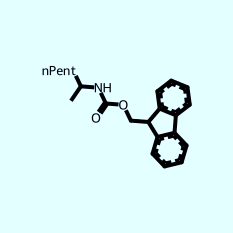 CCCCCC(C)NC(=O)OCC1c2ccccc2-c2ccccc21